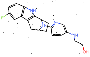 OCCNc1ccc(N2C3CCC2c2[nH]c4ccc(F)cc4c2C3)nc1